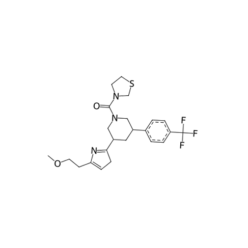 COCCC1=CCC(C2CC(c3ccc(C(F)(F)F)cc3)CN(C(=O)N3CCSC3)C2)=N1